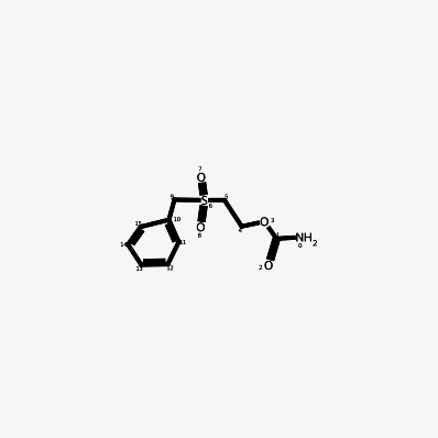 NC(=O)OCCS(=O)(=O)Cc1ccccc1